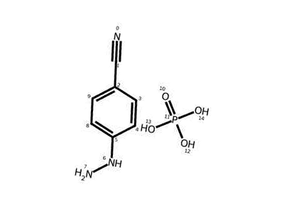 N#Cc1ccc(NN)cc1.O=P(O)(O)O